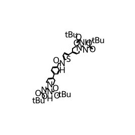 CC(C)(C)OC(=O)N=C(NC(=O)OC(C)(C)C)N1CC=C(c2ccc(C(=O)Nc3ccc(C4=CCN(C(=NC(=O)OC(C)(C)C)NC(=O)OC(C)(C)C)CC4)s3)cc2)CC1